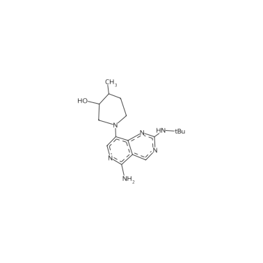 CC1CCN(c2cnc(N)c3cnc(NC(C)(C)C)nc23)CC1O